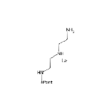 CCCCCNCCNCCN.[La]